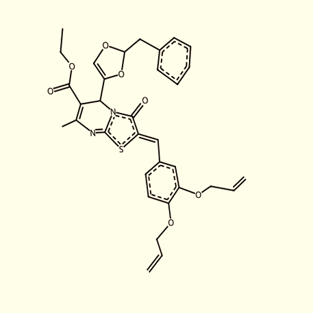 C=CCOc1ccc(C=c2sc3n(c2=O)C(C2=COC(Cc4ccccc4)O2)C(C(=O)OCC)=C(C)N=3)cc1OCC=C